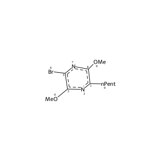 CCCCCc1nc(OC)c(Br)nc1OC